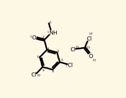 CNC(=O)c1cc(Cl)cc(Cl)c1.O=C(Cl)Cl